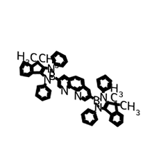 CC1(C)C2=C(c3ccccc31)N(c1ccccc1)B(c1cnc3c(ccc4cc(B5N(c6ccccc6)C6=C(N5c5ccccc5)C(C)(C)c5ccccc56)cnc43)c1)N2c1ccccc1